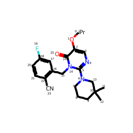 CC(C)Oc1cnc(N2CCCC(C)(C)C2)n(Cc2cc(F)ccc2C#N)c1=O